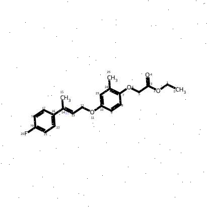 CCOC(=O)COc1ccc(OC/C=C(\C)c2ccc(F)cc2)cc1C